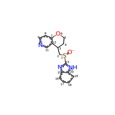 [O-][S+](CC1CCOc2ccncc21)c1nc2ccccc2[nH]1